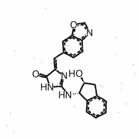 O=C1NC(N[C@H]2c3ccccc3C[C@@H]2O)=N/C1=C\c1ccc2ncoc2c1